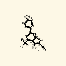 Cc1ccc(-c2cc(C(F)(F)F)c3c(N)c(C#N)sc3n2)cc1